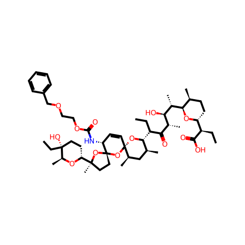 CCC(C(=O)[C@@H](C)[C@@H](O)[C@H](C)[C@@H]1O[C@@H]([C@@H](CC)C(=O)O)CC[C@@H]1C)[C@H]1O[C@]2(C=C[C@@H](NC(=O)OCCOCc3ccccc3)[C@]3(CC[C@@](C)([C@H]4CC[C@](O)(CC)[C@H](C)O4)O3)O2)[C@H](C)C[C@@H]1C